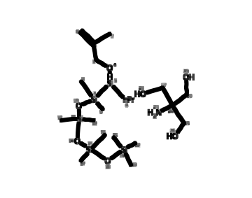 C=C(C)CO[SiH](CCC)[Si](C)(C)O[Si](C)(C)O[Si](C)(C)O[Si](C)(C)C.NC(CO)(CO)CO